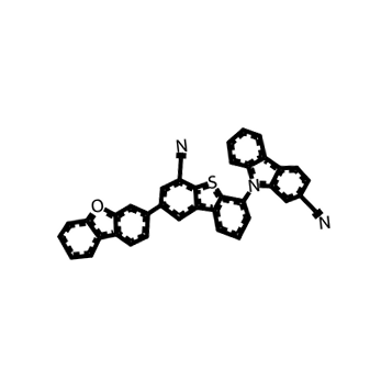 N#Cc1ccc2c3ccccc3n(-c3cccc4c3sc3c(C#N)cc(-c5ccc6c(c5)oc5ccccc56)cc34)c2c1